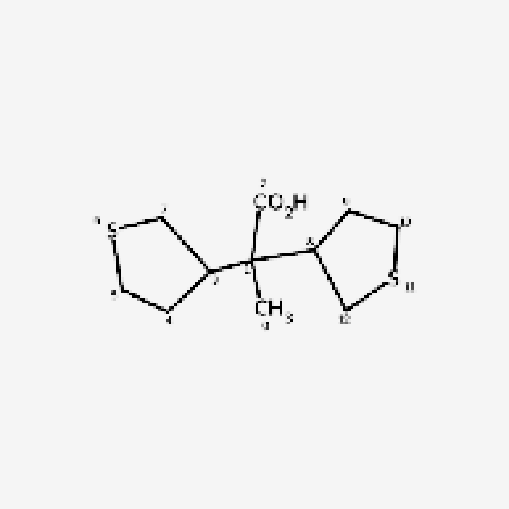 CC(C(=O)O)(C1CCSC1)C1CCSC1